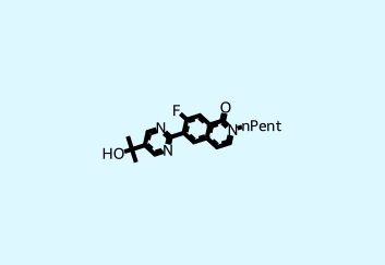 CCCCCn1ccc2cc(-c3ncc(C(C)(C)O)cn3)c(F)cc2c1=O